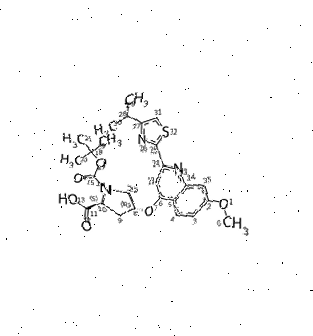 COc1ccc2c(O[C@@H]3C[C@@H](C(=O)O)N(C(=O)OC(C)(C)C)C3)cc(-c3nc(C(C)C)cs3)nc2c1